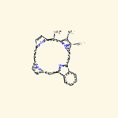 O=S(=O)(O)c1c(S(=O)(=O)O)c2[nH]c1cc1nc(cc3ccc(cc4nc(c2S(=O)(=O)O)C=C4)[nH]3)-c2ccccc2-1